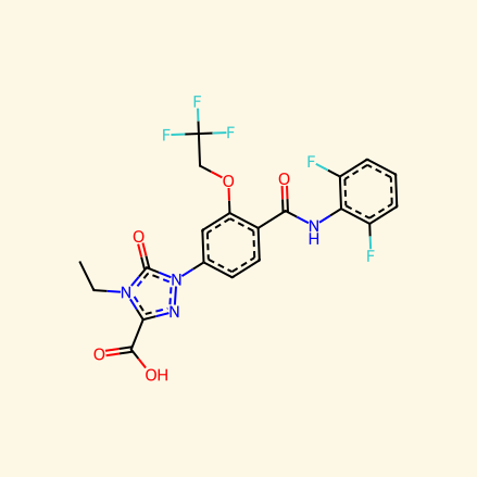 CCn1c(C(=O)O)nn(-c2ccc(C(=O)Nc3c(F)cccc3F)c(OCC(F)(F)F)c2)c1=O